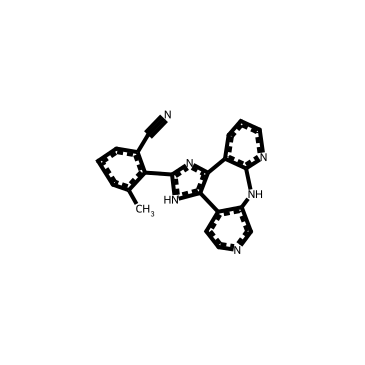 Cc1cccc(C#N)c1-c1nc2c([nH]1)-c1ccncc1Nc1ncccc1-2